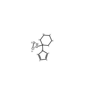 OC1(C2C=CC=C2)CCCCC1.[Cl][Zr]